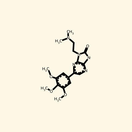 COc1cc(-c2cnc3c(n2)N(CCN(C)C)C(=O)[N]3)cc(OC)c1OC